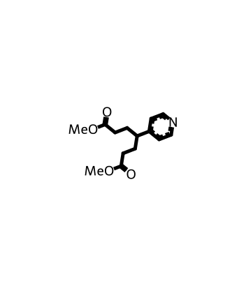 COC(=O)CCC(CCC(=O)OC)c1ccncc1